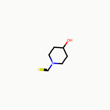 OC1CCN([C]=S)CC1